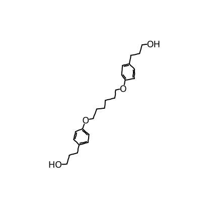 OCCCc1ccc(OCCCCCCOc2ccc(CCCO)cc2)cc1